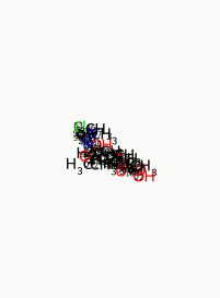 CC(C)C1=C2[C@H]3CC[C@@H]4[C@@]5(C)CC[C@H](OC(=O)[C@H]6C[C@@H](C(=O)O)C6(C)C)C(C)(C)[C@@H]5CC[C@@]4(C)[C@]3(C)CC[C@@]2([C@@H](O)CN(CCN(C)C)Cc2ccc(Cl)cc2)CC1=O